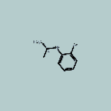 CC(=O)c1ccccc1N[C@@H](C)C(=O)O